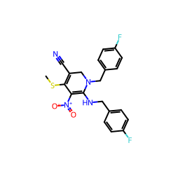 CSC1=C(C#N)CN(Cc2ccc(F)cc2)C(NCc2ccc(F)cc2)=C1[N+](=O)[O-]